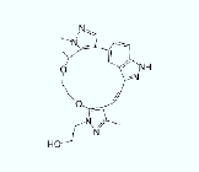 Cc1nn(CCO)c2c1/C=C/c1n[nH]c3ccc(cc13)-c1cnn(C)c1C(C)OCCO2